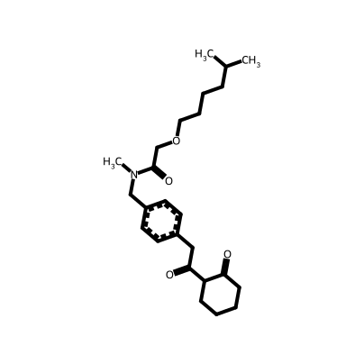 CC(C)CCCCOCC(=O)N(C)Cc1ccc(CC(=O)C2CCCCC2=O)cc1